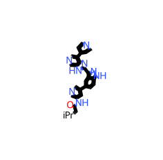 CC(C)CC(=O)Nc1cncc(-c2ccc3[nH]nc(-c4nc5c(-c6ccncc6)cncc5[nH]4)c3c2)c1